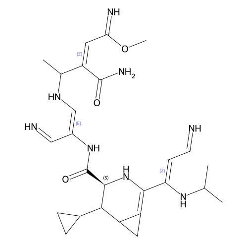 COC(=N)/C=C(\C(N)=O)C(C)N/C=C(\C=N)NC(=O)[C@H]1NC(/C(=C/C=N)NC(C)C)=C2CC2C1C1CC1